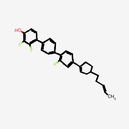 C/C=C/CCC1CC=C(c2ccc(-c3ccc(-c4ccc(O)c(F)c4F)cc3)c(F)c2)CC1